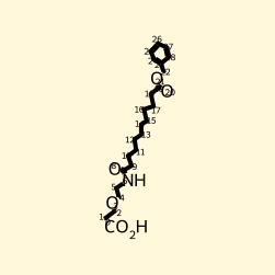 O=C(O)CCOCCNC(=O)CCCCCCCCCCC(=O)OCc1ccccc1